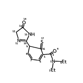 CCN(CC)C(=O)C1=CC=CC(C2=NCC(=O)N2)C1=S